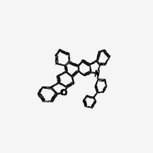 c1ccc(-c2cccc(-n3c4ccccc4c4cc5c6ccccc6c6cc7c(cc6c5cc43)oc3ccccc37)c2)cc1